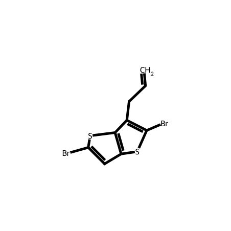 C=CCc1c(Br)sc2cc(Br)sc12